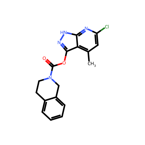 Cc1cc(Cl)nc2[nH]nc(OC(=O)N3CCc4ccccc4C3)c12